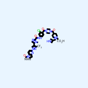 CNC(=O)n1ccc2nc(-n3cc(-c4cnc(C(=O)Nc5ccc(C(=O)N6CCN(C(=O)C7CC[N+](CC(=O)O)(CC8CNC8)CC7)CC6)c(Cl)c5)n4C)c(C(F)(F)F)n3)ccc21